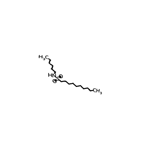 CCCCCCCCCCS(=O)(=O)NCCCCCC